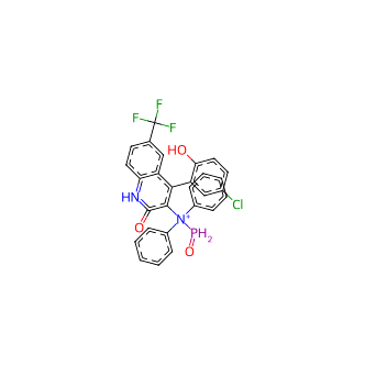 O=[PH2][N+](c1ccccc1)(c1ccccc1)c1c(-c2cc(Cl)ccc2O)c2cc(C(F)(F)F)ccc2[nH]c1=O